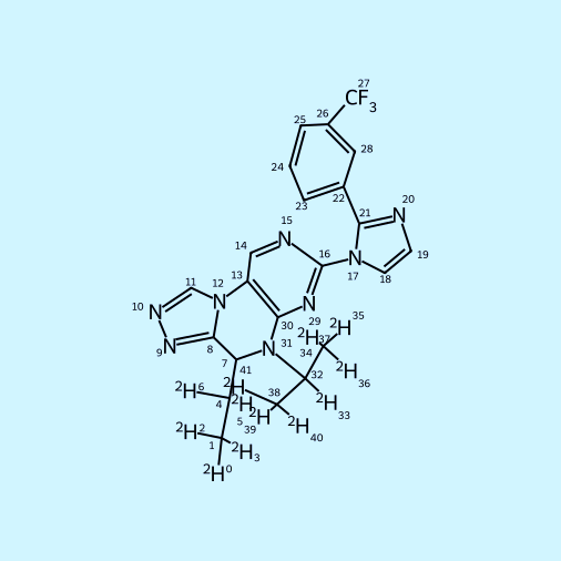 [2H]C([2H])([2H])C([2H])([2H])C1c2nncn2-c2cnc(-n3ccnc3-c3cccc(C(F)(F)F)c3)nc2N1C([2H])(C([2H])([2H])[2H])C([2H])([2H])[2H]